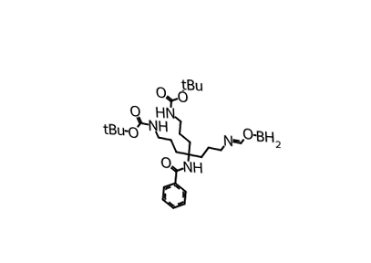 BOC=NCCCC(CCCNC(=O)OC(C)(C)C)(CCCNC(=O)OC(C)(C)C)NC(=O)c1ccccc1